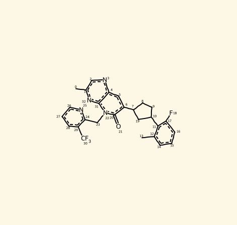 Cc1cnc2cc(C3CCC(c4c(C)cccc4F)C3)c(=O)n(Cc3ncccc3C(F)(F)F)c2n1